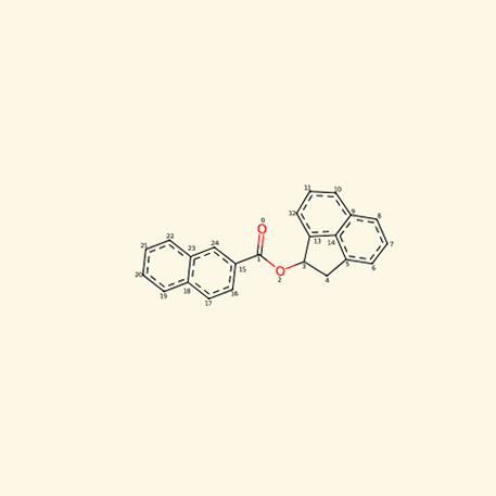 O=C(OC1Cc2cccc3cccc1c23)c1ccc2ccccc2c1